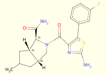 CC1C[C@H]2CN(C(=O)c3nc(N)sc3-c3cccc(F)c3)[C@H](C(N)=O)[C@H]2C1